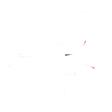 O=C(O)CCC/C=C\C[C@@H]1[C@@H](N2CCOCC2)[C@H](O)C[C@@H]1OCc1ccsc1